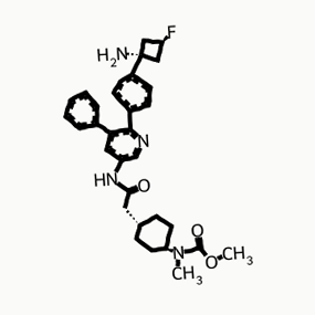 COC(=O)N(C)[C@H]1CC[C@H](CC(=O)Nc2cnc(-c3ccc([C@]4(N)C[C@H](F)C4)cc3)c(-c3ccccc3)c2)CC1